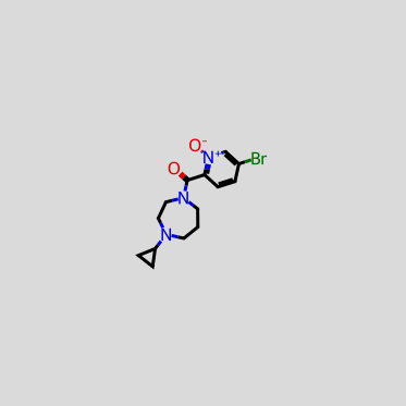 O=C(c1ccc(Br)c[n+]1[O-])N1CCCN(C2CC2)CC1